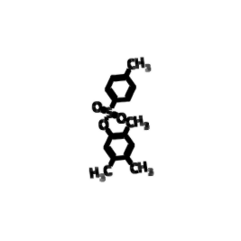 Cc1ccc(S(=O)(=O)Oc2cc(C)c(C)cc2C)cc1